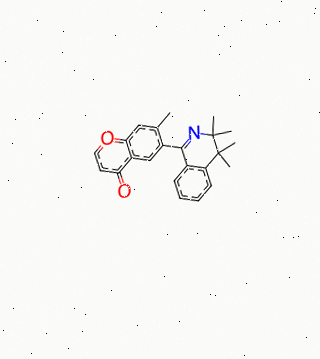 Cc1cc2occc(=O)c2cc1C1=NC(C)(C)C(C)(C)c2ccccc21